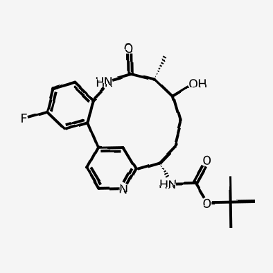 C[C@H]1C(=O)Nc2ccc(F)cc2-c2ccnc(c2)[C@@H](NC(=O)OC(C)(C)C)CCC1O